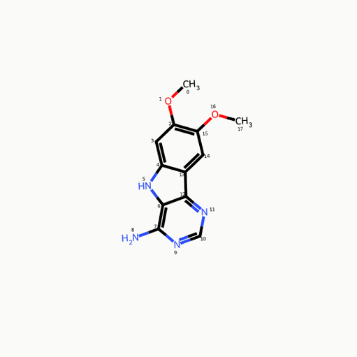 COc1cc2[nH]c3c(N)ncnc3c2cc1OC